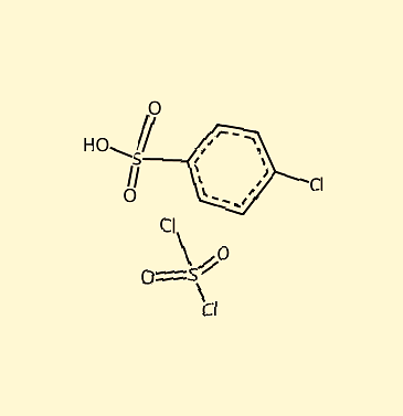 O=S(=O)(Cl)Cl.O=S(=O)(O)c1ccc(Cl)cc1